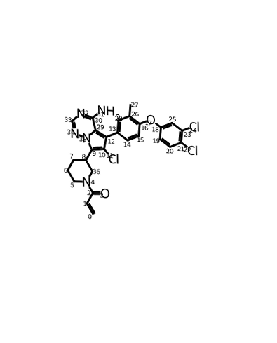 C=CC(=O)N1CCCC(c2c(Cl)c(-c3ccc(Oc4ccc(Cl)c(Cl)c4)c(C)c3)c3c(N)ncnn23)C1